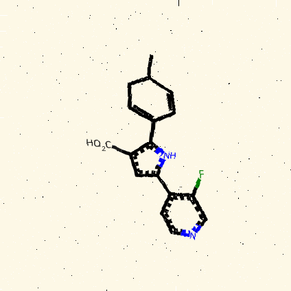 CC1C=CC(c2[nH]c(-c3ccncc3F)cc2C(=O)O)=CC1